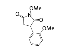 COc1ccccc1C1CC(=O)N(OC)C1=O